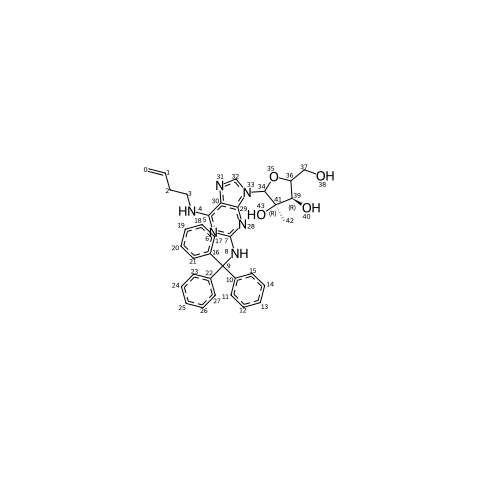 C=CCCNc1nc(NC(c2ccccc2)(c2ccccc2)c2ccccc2)nc2c1ncn2C1OC(CO)[C@@H](O)[C@@]1(C)O